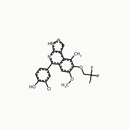 COc1cc2c(-c3ccc(O)c(Cl)c3)nc3[nH]ncc3c2c(C)c1OCC(F)(F)F